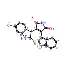 O=C1NC(=O)C(C2c3ccc(Cl)cc3NC2Cl)=C1c1c[nH]c2ccccc12